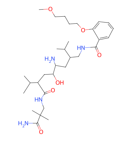 COCCCCOc1ccccc1C(=O)NCC(CC(N)C(O)CC(C(=O)NCC(C)(C)C(N)=O)C(C)C)C(C)C